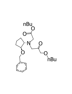 CCCCOCC(=O)CN(CC(=O)OCCCC)[C@H]1CCC[C@@H]1OCc1ccccc1